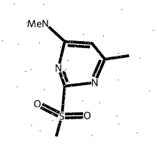 CNc1cc(C)nc(S(C)(=O)=O)n1